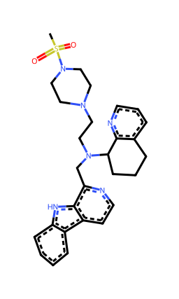 CS(=O)(=O)N1CCN(CCN(Cc2nccc3c2[nH]c2ccccc23)C2CCCc3cccnc32)CC1